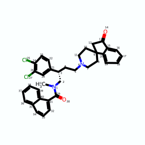 CN(C[C@@H](CCN1CCC2(CC1)CC(=O)c1ccccc12)c1ccc(Cl)c(Cl)c1)C(=O)c1cccc2ccccc12